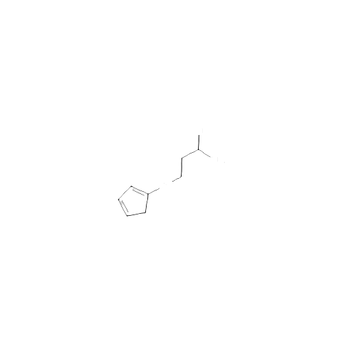 CC(C)C[CH2][Zr+2][C]1=CC=CC1.[Cl-].[Cl-]